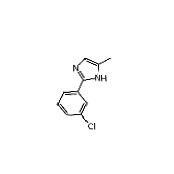 Cc1cnc(-c2cccc(Cl)c2)[nH]1